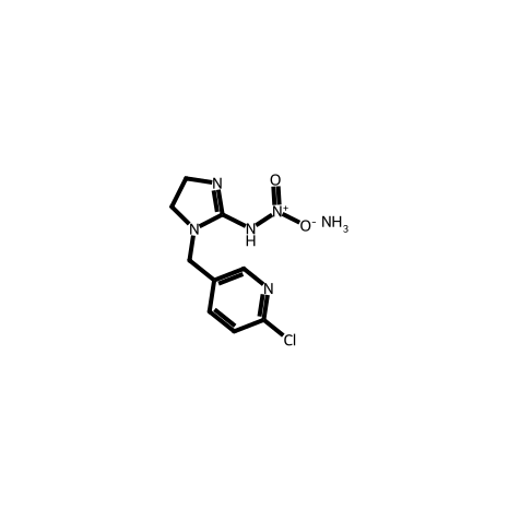 N.O=[N+]([O-])NC1=NCCN1Cc1ccc(Cl)nc1